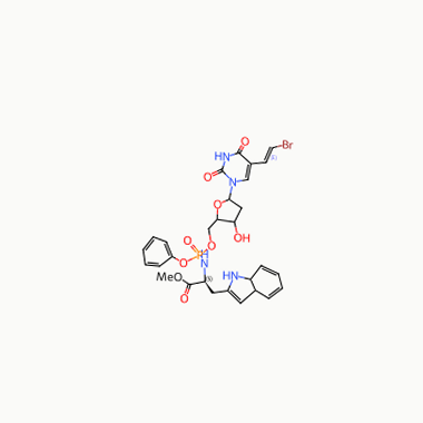 COC(=O)[C@H](CC1=CC2C=CC=CC2N1)NP(=O)(OCC1OC(n2cc(/C=C/Br)c(=O)[nH]c2=O)CC1O)Oc1ccccc1